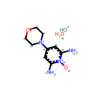 Cl.Nc1cc(N2CCOCC2)cc(N)[n+]1[O-].O